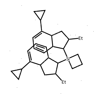 CCC1CC2C(C3CC3)=CC=CC2C1[Si]1(C2C(CC)CC3C(C4CC4)=CC=CC32)CCC1